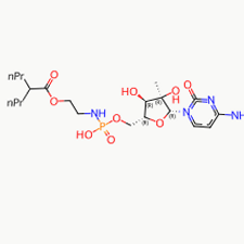 CCCC(CCC)C(=O)OCCNP(=O)(O)OC[C@H]1O[C@@H](n2ccc(N)nc2=O)[C@](C)(O)[C@@H]1O